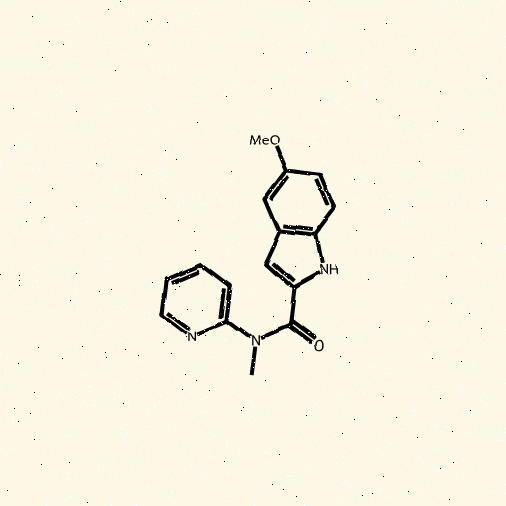 COc1ccc2[nH]c(C(=O)N(C)c3ccccn3)cc2c1